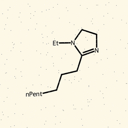 CCCCCCCCC1=NCCN1CC